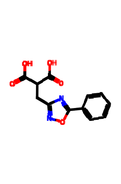 O=C(O)C(Cc1noc(-c2ccccc2)n1)C(=O)O